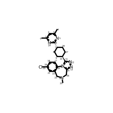 Cc1cc(C)nc([C@H]2CC[C@H](c3nnc4n3-c3ccc(Cl)cc3CN(C)C4)CC2)n1